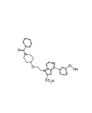 CCCOc1cccc(-c2nccc3c2cc(C(=O)O)n3CCOC2CCN(C(=O)c3ccccc3)CC2)c1